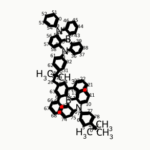 CC(C)(C)c1ccc(N2c3ccccc3B(c3c(-c4ccccc4)cc(CC(C)(C)c4ccc(N5c6ccccc6B6c7ccccc7N(c7ccccc7)c7cccc5c76)cc4)cc3-c3ccccc3)c3ccccc32)cc1